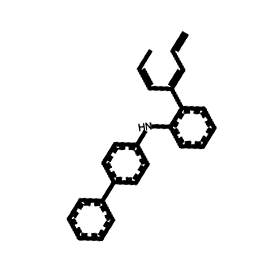 C=C/C=C(\C=C/C)c1ccccc1Nc1ccc(-c2ccccc2)cc1